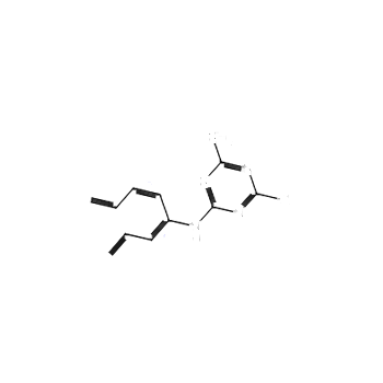 C=C/C=C\C(=C/C=C)Nc1nc(N)nc(Cl)n1